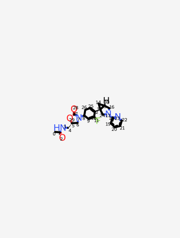 CC(=O)NC[C@H]1CN(C2C=C(F)C([C@@]34C[C@@H]3CN(c3ccccn3)C4)=CC2)C(=O)O1